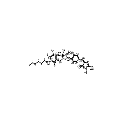 CCCCCCOc1c(C)c(C)c2c(c1C)CCC(C)(COc1ccc(C=C3SC(=O)NC3=O)cc1Br)O2